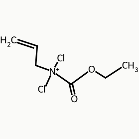 C=CC[N+](Cl)(Cl)C(=O)OCC